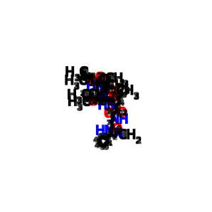 C=NC[C@H](NC(=O)CNC(=O)C(=O)C(CCCC)NC(=O)[C@@H]1C[C@@H](OC(C)(C)C)CN1C(=O)[C@@H](NC(=O)OCC(C)C)C(C)(C)C)c1ccccc1